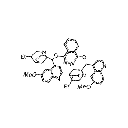 CCC1CN2CCC1CC2C(Oc1nnc(O[C@H](c2ccnc3ccc(OC)cc23)C2CC3CCN2CC3CC)c2ccccc12)c1ccnc2ccc(OC)cc12